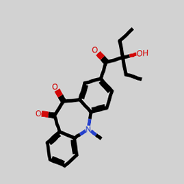 CCC(O)(CC)C(=O)c1ccc2c(c1)c(=O)c(=O)c1ccccc1n2C